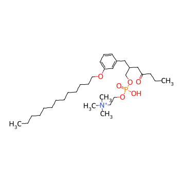 CCCCCCCCCCCCCOc1cccc(CC(COP(=O)(O)OCC[N+](C)(C)C)CC(=O)CCC)c1